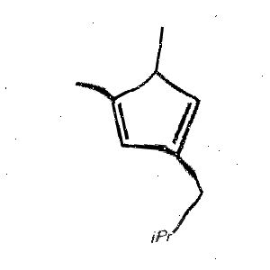 CC1=CC(CC(C)C)=CC1C